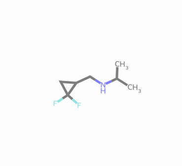 CC(C)NCC1CC1(F)F